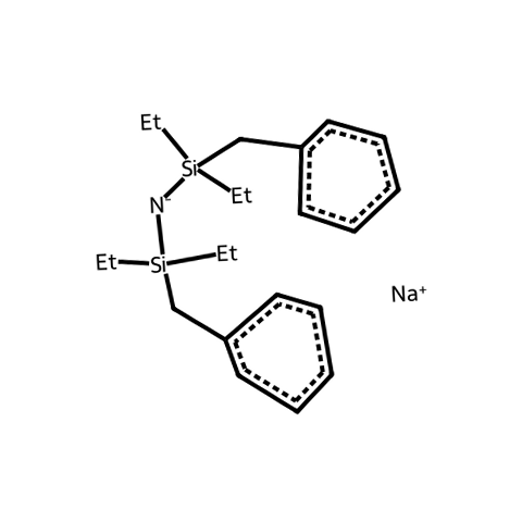 CC[Si](CC)(Cc1ccccc1)[N-][Si](CC)(CC)Cc1ccccc1.[Na+]